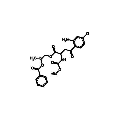 C[C@H](COC(=O)C(CC(=O)c1ccc(Cl)cc1N)NC(=O)OC(C)(C)C)OC(=O)c1ccccc1